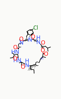 CCC(C)C1NC(=O)CN(C)C(=O)[C@@H](Cc2ccc(Cl)cc2)N(C)C(=O)[C@H](C)NC(=O)[C@@H](CC(C)C)OC(=O)/C(C)=C/CC[C@H](C)[C@@H]([C@@H](C)CC)NC(=O)C(C)(C)NC1=O